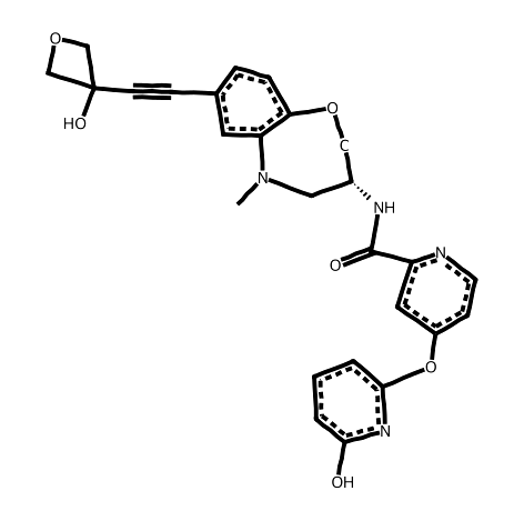 CN1C[C@@H](NC(=O)c2cc(Oc3cccc(O)n3)ccn2)COc2ccc(C#CC3(O)COC3)cc21